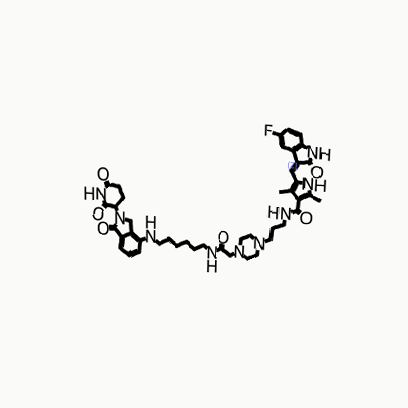 Cc1[nH]c(/C=C2\C(=O)Nc3ccc(F)cc32)c(C)c1C(=O)NCCCN1CCN(CC(=O)NCCCCCCNc2cccc3c2CN(C2CCC(=O)NC2=O)C3=O)CC1